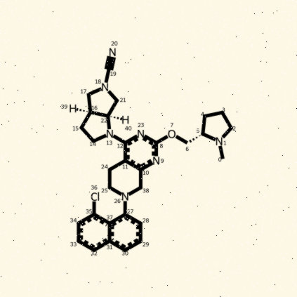 CN1CCC[C@H]1COc1nc2c(c(N3CC[C@H]4CN(C#N)C[C@H]43)n1)CCN(c1cccc3cccc(Cl)c13)C2